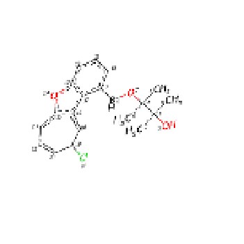 CC(C)(O)C(C)(C)OBc1cccc2oc3c(c12)=CC(Cl)C=CC=3